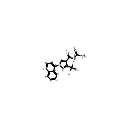 NC(=O)NC(=O)c1cn(-c2ccnc3ccccc23)nc1C(F)(F)F